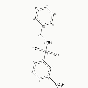 O=C(O)c1cccc(S(=O)(=O)NCc2ccccc2)c1